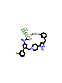 CCn1nc(Cc2cccc(OC)c2)cc1C1CCN(CC2CC(N(C)[C@@H](C(=O)O)C(C)C)CC2c2cccc(F)c2)CC1.Cl.Cl.Cl